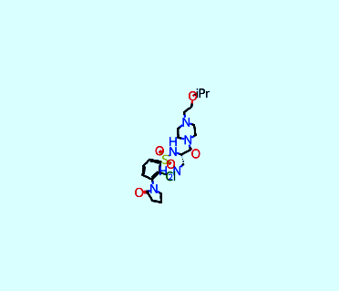 CC(C)OCCN1CCN(C(=O)[C@H](CN)NS(=O)(=O)c2cccc(N3CCCC3=O)c2Cl)CC1